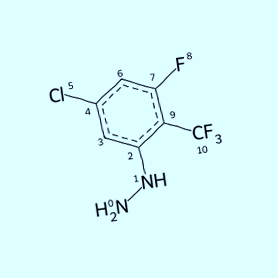 NNc1cc(Cl)cc(F)c1C(F)(F)F